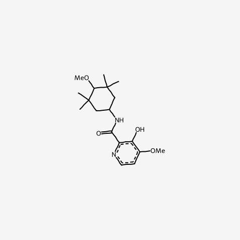 COc1ccnc(C(=O)NC2CC(C)(C)C(OC)C(C)(C)C2)c1O